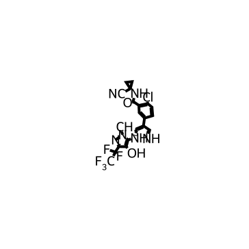 Cn1nc(C(F)(F)C(F)(F)F)c(O)c1N/C=C(\C=N)c1ccc(Cl)c(C(=O)NC2(C#N)CC2)c1